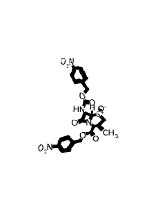 C=C1C[S+]([O-])[C@H]2C(NC(=O)OCc3ccc([N+](=O)[O-])cc3)C(=O)N2C1C(=O)OCc1ccc([N+](=O)[O-])cc1